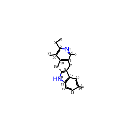 CCc1nc(C)c(Cc2c[nH]c3ccc(C)cc23)c(C)c1C